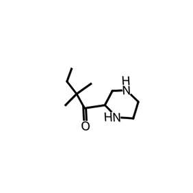 CCC(C)(C)C(=O)C1CNCCN1